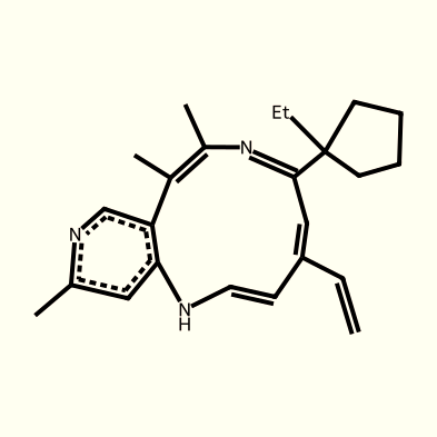 C=CC1=C/C(C2(CC)CCCC2)=N\C(C)=C(\C)c2cnc(C)cc2N\C=C\1